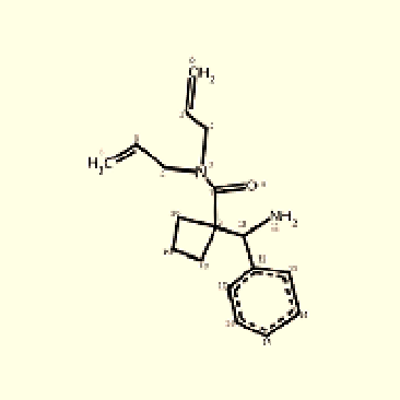 C=CCN(CC=C)C(=O)C1(C(N)c2ccccc2)CCC1